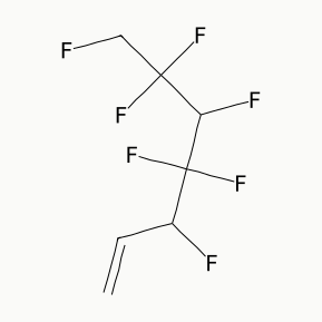 C=CC(F)C(F)(F)C(F)C(F)(F)CF